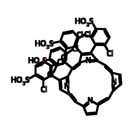 O=S(=O)(O)c1ccc(Cl)c(C2=CC3=CC4=NC(=CC5=NC(=CC6=NC(=C(c7c(Cl)ccc(S(=O)(=O)O)c7Cl)C2=N3)C(c2c(Cl)ccc(S(=O)(=O)O)c2Cl)=C6c2c(Cl)ccc(S(=O)(=O)O)c2Cl)C=C5)C=C4)c1Cl